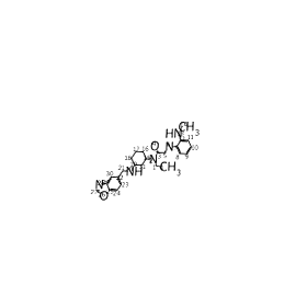 CCN(C(=O)/C=N/c1ccccc1NC)C1CCCC(NCc2ccc3ocnc3c2)C1